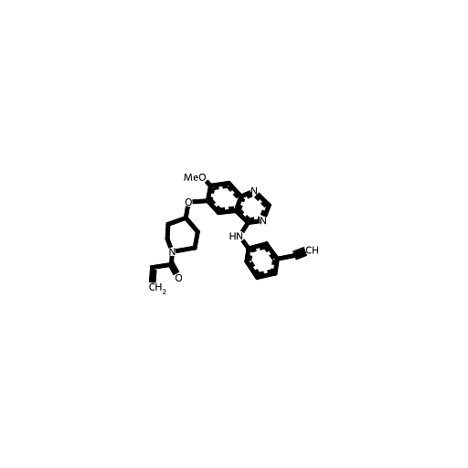 C#Cc1cccc(Nc2ncnc3cc(OC)c(OC4CCN(C(=O)C=C)CC4)cc23)c1